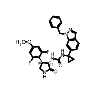 COc1cc(F)c([C@@H]2CNC(=O)[C@H]2NC(=O)NC2(c3ccc4cnn(Cc5ccccc5)c4c3)CC2)c(F)c1